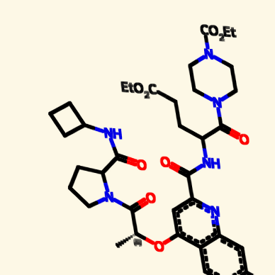 CCOC(=O)CCC(NC(=O)c1cc(O[C@H](C)C(=O)N2CCCC2C(=O)NC2CCC2)c2ccc(C)cc2n1)C(=O)N1CCN(C(=O)OCC)CC1